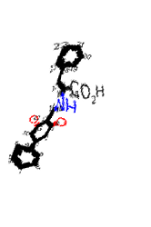 O=C1CC(c2ccccc2)CC(=O)C1=CN[C@@H](Cc1ccccc1)C(=O)O